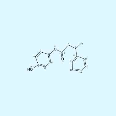 CC(CC(=O)Oc1ccc(O)cc1)c1ccccc1